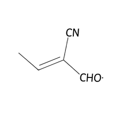 CC=C([C]=O)C#N